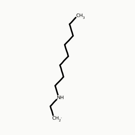 [CH2]CNCCCCCCCC